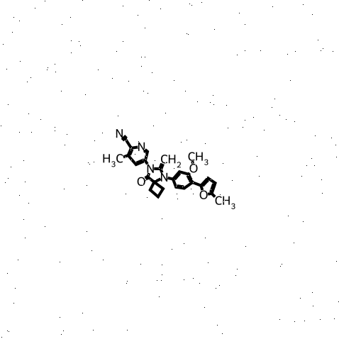 C=C1N(c2cnc(C#N)c(C)c2)C(=O)C2(CCC2)N1c1ccc(-c2ccc(C)o2)c(OC)c1